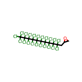 ClC(Cl)(Cl)C(Cl)(Cl)C(Cl)(Cl)C(Cl)(Cl)C(Cl)(Cl)C(Cl)(Cl)C(Cl)(Cl)C(Cl)(Cl)C(Cl)(Cl)C(Cl)(Cl)CC1CO1